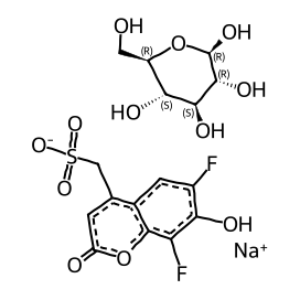 O=c1cc(CS(=O)(=O)[O-])c2cc(F)c(O)c(F)c2o1.OC[C@H]1O[C@@H](O)[C@H](O)[C@@H](O)[C@@H]1O.[Na+]